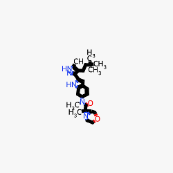 Cc1[nH]nc(-c2cc3c([nH]2)CC(N(C)C(=O)C2(C)C4COCCN42)C=C3)c1CCC(C)(C)C